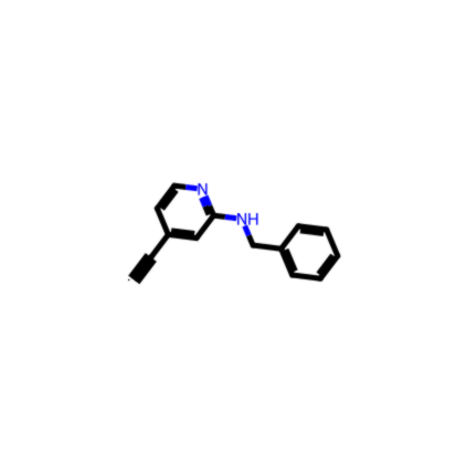 [C]#Cc1ccnc(NCc2ccccc2)c1